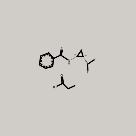 CCC(=O)O.O=C(N[C@@H]1C[C@@H]1C(F)F)c1ccccc1